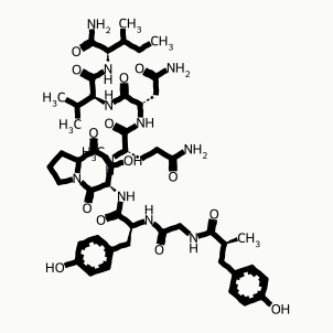 CCC(C)[C@H](NC(=O)[C@@H](NC(=O)[C@H](CC(N)=O)NC(=O)[C@H](CCC(N)=O)NC(=O)C1CCCN1C(=O)[C@@H](NC(=O)[C@H](Cc1ccc(O)cc1)NC(=O)CNC(=O)[C@@H](C)Cc1ccc(O)cc1)C(C)O)C(C)C)C(N)=O